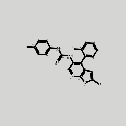 CCc1cc2c(-c3ccccc3Cl)c(NC(=O)Nc3ccc(Cl)cc3)cnc2s1